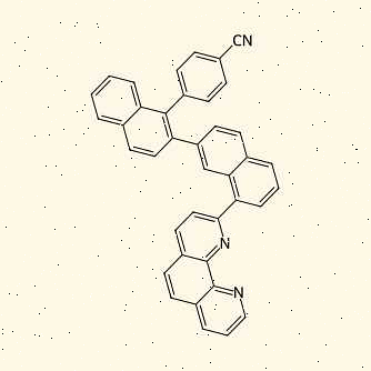 N#Cc1ccc(-c2c(-c3ccc4cccc(-c5ccc6ccc7cccnc7c6n5)c4c3)ccc3ccccc23)cc1